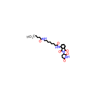 O=C(O)CCCC(=O)NCCCCCCCC(=O)Nc1cccc2c1C(=O)N(C1CCC(=O)NC1=O)C2=O